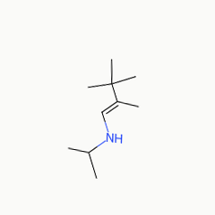 C/C(=C\NC(C)C)C(C)(C)C